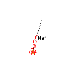 CCCCCCCCCCCCCOCCOCCOCCOS(=O)(=O)[O-].[Na+]